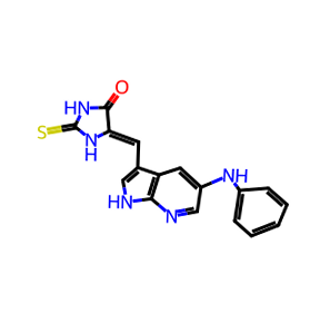 O=C1NC(=S)N/C1=C\c1c[nH]c2ncc(Nc3ccccc3)cc12